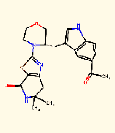 CC(=O)c1ccc2[nH]cc(C[C@H]3COCCN3c3nc4c(s3)C(=O)NC(C)(C)C4)c2c1